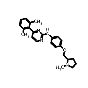 Cc1cccc(C)c1-c1ccnc(Nc2ccc(OCC3CCCN3C)cc2)n1